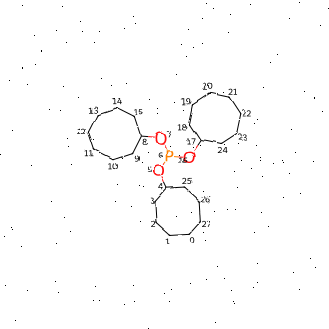 C1CCCC(OP(OC2CCCCCCC2)OC2CCCCCCC2)CCC1